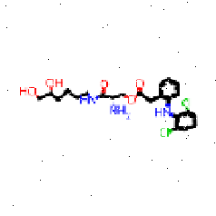 N[C@@H](COC(=O)Cc1ccccc1Nc1c(Cl)cccc1Cl)C(=O)NCCCC[C@H](O)CO